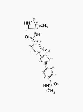 CNC(=O)c1ccc(-c2cn3c(n2)sc2cc(C(=O)N[C@@H]4CNC[C@H]4C)ccc23)cc1